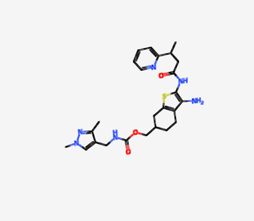 Cc1nn(C)cc1CNC(=O)OCC1CCc2c(sc(NC(=O)CC(C)c3ccccn3)c2N)C1